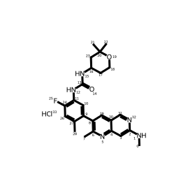 CNc1cc2nc(C)c(-c3cc(NC(=O)NC4CCOC(C)(C)C4)c(F)cc3C)cc2cn1.Cl